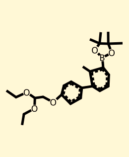 CCOC(COc1ccc(-c2cccc(B3OC(C)(C)C(C)(C)O3)c2C)cc1)OCC